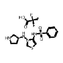 O=C(O)C(F)(F)F.O=S(=O)(NC1=CSCN1N[C@H]1CCNC1)c1ccccc1